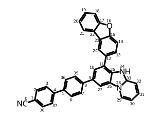 N#Cc1ccc(-c2ccc(-c3cc(-c4ccc5oc6ccccc6c5c4)c4c(c3)N3C=CC=CC3N4)cc2)cc1